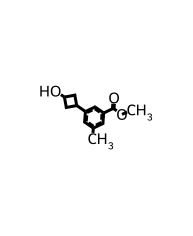 COC(=O)c1cc(C)cc(C2CC(O)C2)c1